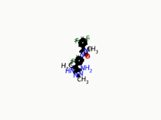 Cc1nc(N)c2c(-c3ccc(N4CC(c5cc(F)cc(F)c5)N(C)C4=O)cc3F)c(C)[nH]c2n1